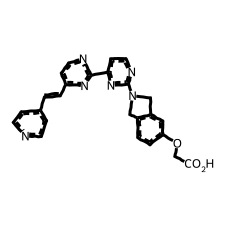 O=C(O)COc1ccc2c(c1)CN(c1nccc(-c3nccc(/C=C/c4ccncc4)n3)n1)C2